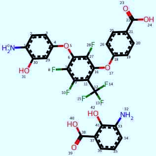 Nc1ccc(Oc2c(F)c(F)c(C(F)(F)F)c(Oc3ccc(C(=O)O)cc3)c2F)cc1O.Nc1cccc(C(=O)O)c1O